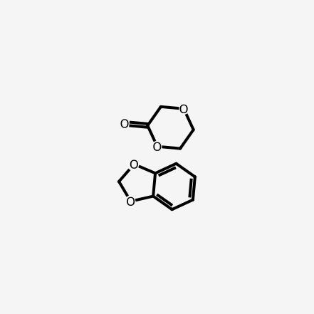 O=C1COCCO1.c1ccc2c(c1)OCO2